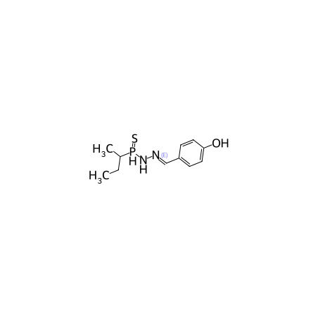 CCC(C)[PH](=S)N/N=C/c1ccc(O)cc1